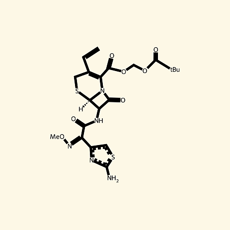 C=CC1=C(C(=O)OCOC(=O)C(C)(C)C)N2C(=O)C(NC(=O)/C(=N\OC)c3csc(N)n3)[C@H]2SC1